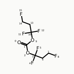 O=C(OC(F)(F)CCF)OC(F)(F)CCF